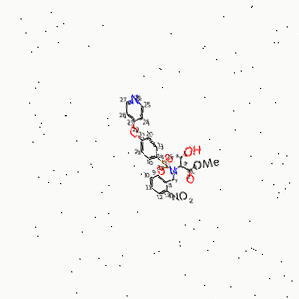 COC(=O)C(CO)N(Cc1ccccc1[N+](=O)[O-])S(=O)(=O)c1ccc(Oc2ccncc2)cc1